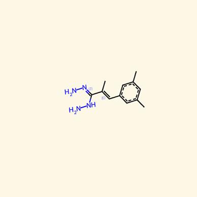 CC(=C\c1cc(C)cc(C)c1)/C(=N/N)NN